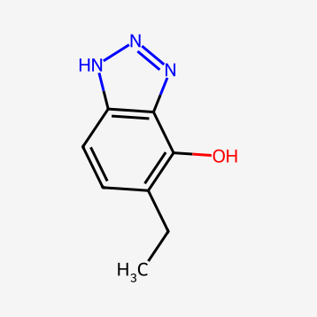 CCc1ccc2[nH]nnc2c1O